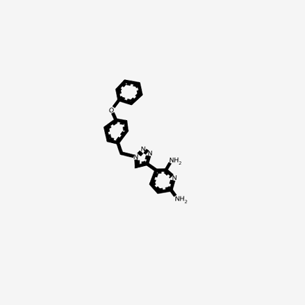 Nc1ccc(-c2cn(Cc3ccc(Oc4ccccc4)cc3)nn2)c(N)n1